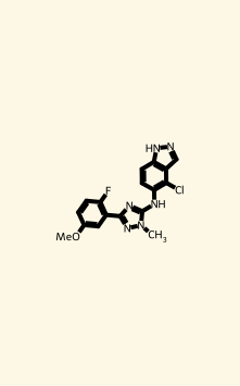 COc1ccc(F)c(-c2nc(Nc3ccc4[nH]ncc4c3Cl)n(C)n2)c1